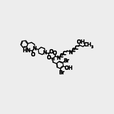 CCC(O)=C=C=NC=C=C=NC(=O)[C@@H](Cc1cc(Br)c(O)c(Br)c1)OC(=O)N1CCC(N2CCc3ccccc3NC2=O)CC1